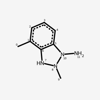 Cc1cccc2c1NN(C)N2N